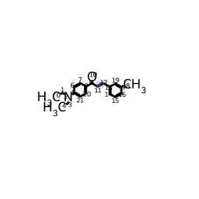 CCN(CC)c1ccc(C(=O)/C=C/c2cccc(C)c2)cc1